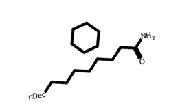 C1CCCCC1.CCCCCCCCCCCCCCCCCC(N)=O